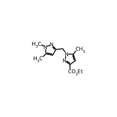 CCOC(=O)c1cc(C)n(Cc2cc(C)n(C)n2)n1